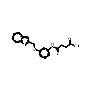 O=C(O)CCC(=O)Nc1cccc(OCc2cc3ccccc3o2)c1